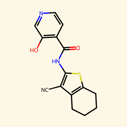 N#Cc1c(NC(=O)c2ccncc2O)sc2c1CCCC2